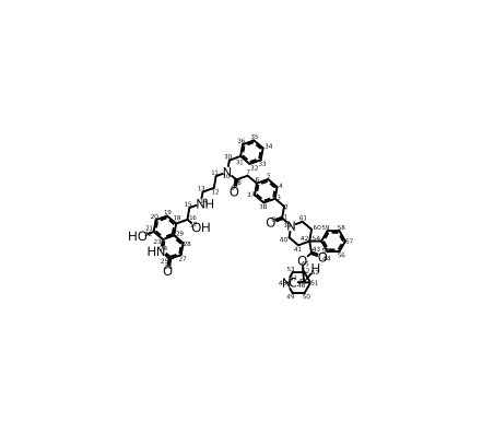 O=C(Cc1ccc(CC(=O)N(CCCNCC(O)c2ccc(O)c3[nH]c(=O)ccc23)Cc2ccccc2)cc1)N1CCC(C(=O)O[C@H]2CN3CCC2CC3)(c2ccccc2)CC1